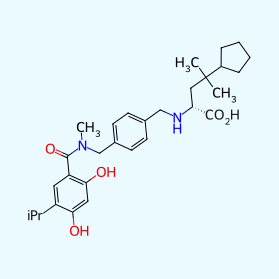 CC(C)c1cc(C(=O)N(C)Cc2ccc(CN[C@H](CC(C)(C)C3CCCC3)C(=O)O)cc2)c(O)cc1O